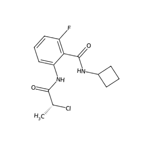 C[C@@H](Cl)C(=O)Nc1cccc(F)c1C(=O)NC1CCC1